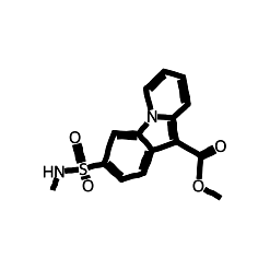 CNS(=O)(=O)c1ccc2c(C(=O)OC)c3ccccn3c2c1